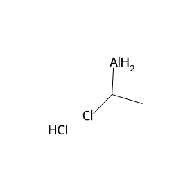 C[CH]([AlH2])Cl.Cl